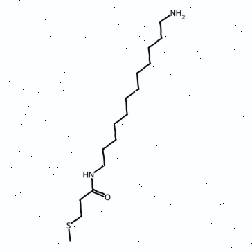 CSCCC(=O)NCCCCCCCCCCCCN